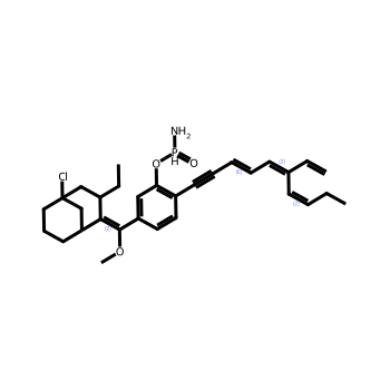 C=CC(/C=C\CC)=C/C=C/C#Cc1ccc(/C(OC)=C2\C(CC)CC3(Cl)CCCC2C3)cc1O[PH](N)=O